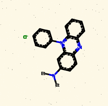 CCN(CC)c1ccc2nc3ccccc3[n+](-c3ccccc3)c2c1.[Cl-]